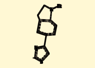 CCN1CCc2cc(-c3cs[c]n3)ccc21